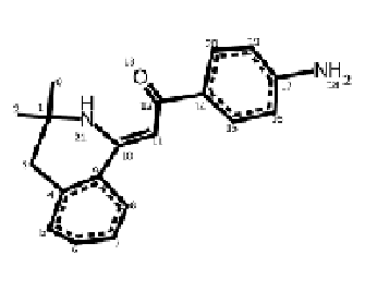 CC1(C)Cc2ccccc2/C(=C/C(=O)c2ccc(N)cc2)N1